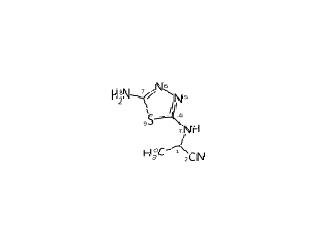 CC(C#N)Nc1nnc(N)s1